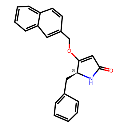 O=C1C=C(OCc2ccc3ccccc3c2)[C@H](Cc2ccccc2)N1